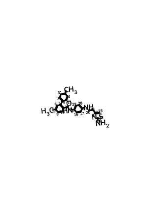 Cc1ccc(-c2cc(C)ccc2C(=O)Nc2ccc(NCCc3csc(N)n3)cc2)cc1